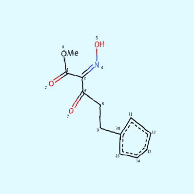 COC(=O)C(=NO)C(=O)CCc1ccccc1